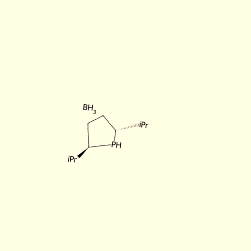 B.CC(C)[C@H]1CC[C@H](C(C)C)P1